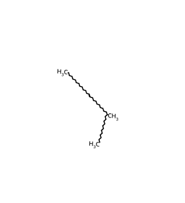 CCCCCCCCCCCCCC=CCCCCCCCCCC(C)CCCCCCCCCCCCC